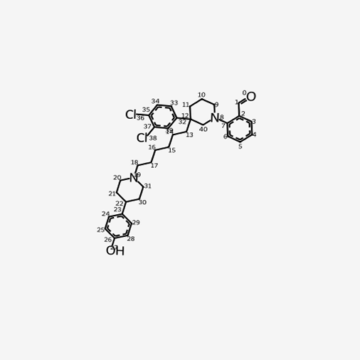 O=Cc1ccccc1N1CCCC(CCCCCCN2CCC(c3ccc(O)cc3)CC2)(c2ccc(Cl)c(Cl)c2)C1